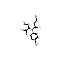 N#Cc1ccc(N(C(=O)CCCl)C(CCl)C(=O)Cl)cc1